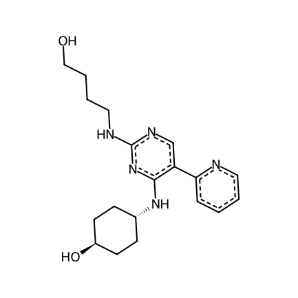 OCCCCNc1ncc(-c2ccccn2)c(N[C@H]2CC[C@H](O)CC2)n1